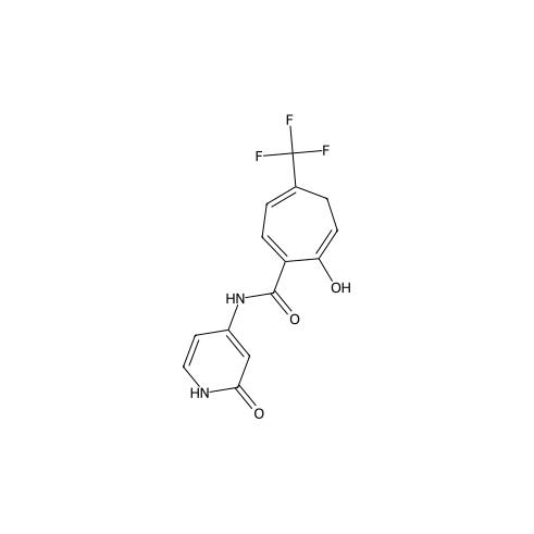 O=C(Nc1cc[nH]c(=O)c1)C1=CC=C(C(F)(F)F)CC=C1O